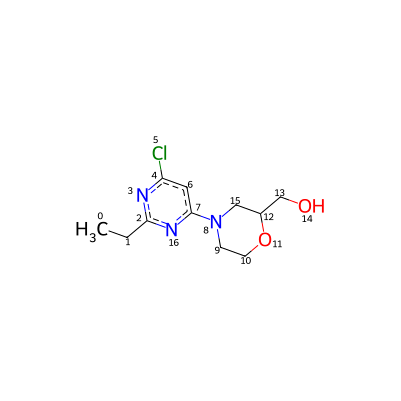 CCc1nc(Cl)cc(N2CCOC(CO)C2)n1